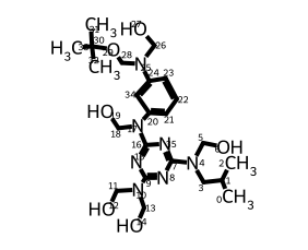 CC(C)CN(CO)c1nc(N(CO)CO)nc(N(CO)c2cccc(N(CO)COC(C)(C)C)c2)n1